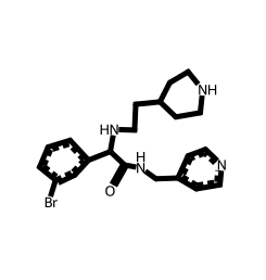 O=C(NCc1ccncc1)C(NCCC1CCNCC1)c1cccc(Br)c1